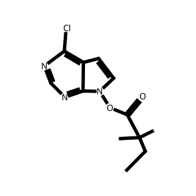 CCC(C)(C)C(=O)On1ccc2c(Cl)ncnc21